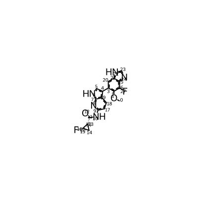 COc1c(-c2c[nH]c3nc(NC(=O)[C@@H]4C[C@@H]4F)ccc23)cc2[nH]cnc2c1F